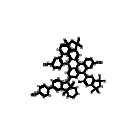 Cc1cc2c(cc1N1c3cc(C(C)(C)C)ccc3B3c4cc5c(cc4N(c4ccc(C(C)(C)C)cc4-c4ccccc4)c4cc(N6c7ccc(-c8ccc(C(C)(C)C)cc8)cc7C7(C)CCCCC67C)cc1c43)C(C)(C)CC5(C)C)C(C)(C)CC2(C)C